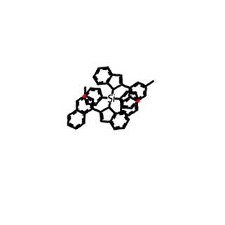 Cc1cc(C2=Cc3ccccc3C2[Si](c2ccccc2)(c2ccccc2)C2C(c3cc(C)cc4ccccc34)=Cc3ccccc32)c2ccccc2c1